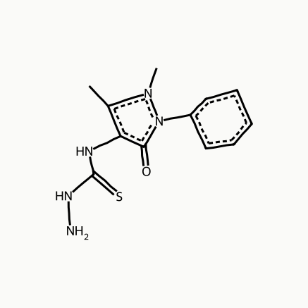 Cc1c(NC(=S)NN)c(=O)n(-c2ccccc2)n1C